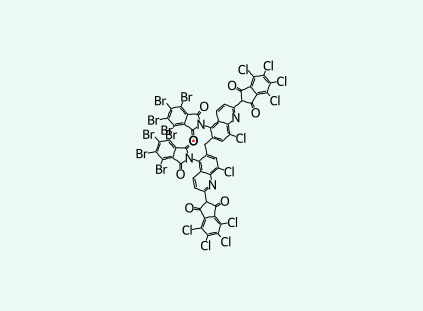 O=C1c2c(Cl)c(Cl)c(Cl)c(Cl)c2C(=O)C1c1ccc2c(N3C(=O)c4c(Br)c(Br)c(Br)c(Br)c4C3=O)c(Cc3cc(Cl)c4nc(C5C(=O)c6c(Cl)c(Cl)c(Cl)c(Cl)c6C5=O)ccc4c3N3C(=O)c4c(Br)c(Br)c(Br)c(Br)c4C3=O)cc(Cl)c2n1